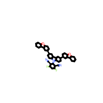 N#Cc1c(F)cc(F)c(C#N)c1-n1c2ccc(-c3ccc4oc5ccccc5c4c3)cc2c2cc(-c3ccc4oc5ccccc5c4c3)ccc21